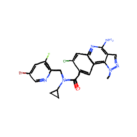 Cn1ncc2c(N)nc3cc(Cl)c(C(=O)N(Cc4ncc(Br)cc4F)C4CC4)cc3c21